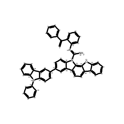 C=C(c1ccccc1)c1ccccc1/N=C(\N)n1c2ccc(-c3ccc4c(c3)c3ccccc3n4-c3ccccc3)cc2c2ccc3c4ccccc4oc3c21